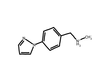 [CH2-][NH2+]Cc1ccc(-n2cccn2)cc1